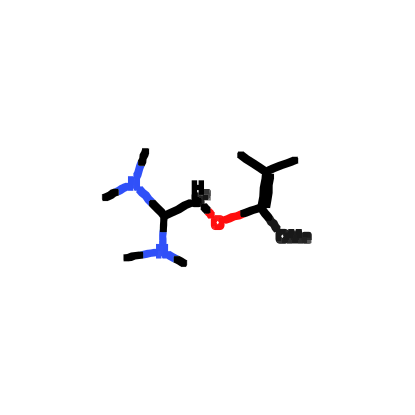 COC(O[SiH2]C(N(C)C)N(C)C)=C(C)C